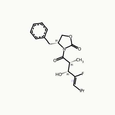 CC(C)/C=C(\F)[C@H](O)[C@@H](C)C(=O)N1C(=O)OC[C@H]1Cc1ccccc1